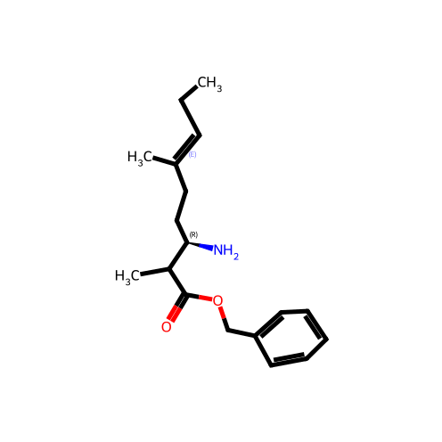 CC/C=C(\C)CC[C@@H](N)C(C)C(=O)OCc1ccccc1